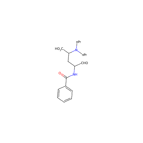 CCCN(CCC)C(CC(C=O)NC(=O)c1ccccc1)C(=O)O